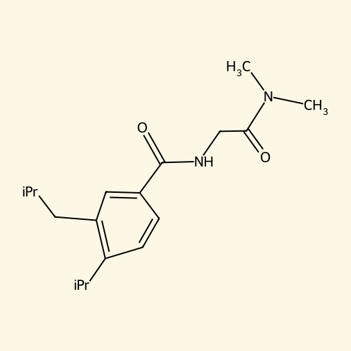 CC(C)Cc1cc(C(=O)NCC(=O)N(C)C)ccc1C(C)C